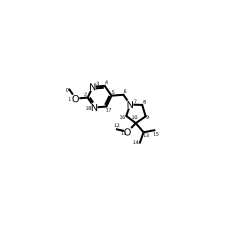 COc1ncc(CN2CCC(OC)(C(C)C)C2)cn1